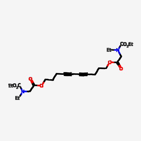 CCOC(=O)N(CC)CC(=O)OCCCC#CC#CCCCOC(=O)CN(CC)C(=O)OCC